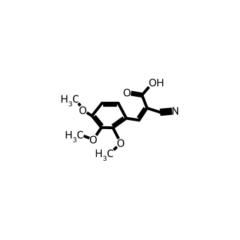 COc1ccc(C=C(C#N)C(=O)O)c(OC)c1OC